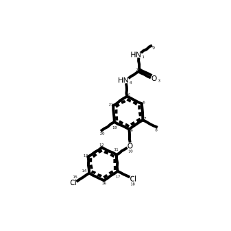 CNC(=O)Nc1cc(C)c(Oc2ccc(Cl)cc2Cl)c(C)c1